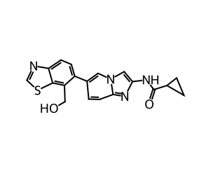 O=C(Nc1cn2cc(-c3ccc4ncsc4c3CO)ccc2n1)C1CC1